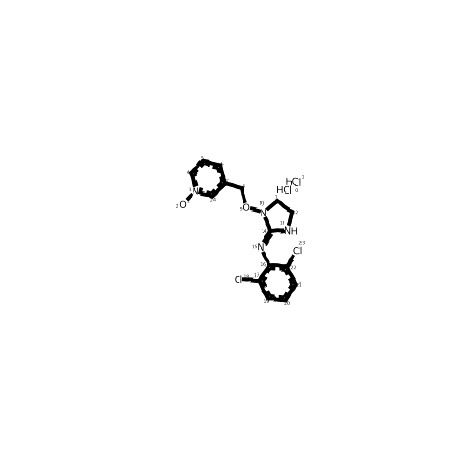 Cl.Cl.[O-][n+]1cccc(CON2CCNC2=Nc2c(Cl)cccc2Cl)c1